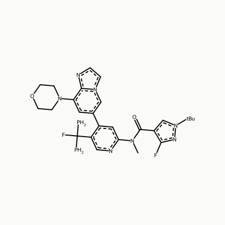 CN(C(=O)c1cn(C(C)(C)C)nc1F)c1cc(-c2cc(N3CCOCC3)c3nccn3c2)c(C(F)(P)P)cn1